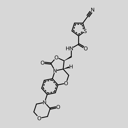 N#Cc1ccc(C(=O)NC[C@@H]2OC(=O)N3c4ccc(N5CCOCC5=O)cc4OC[C@@H]23)s1